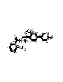 O=C(NCC(F)(F)c1ccc(-c2ccc(F)nc2)cc1Cl)c1ccccc1C(F)(F)F